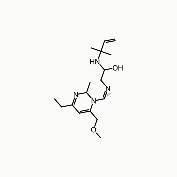 C=CC(C)(C)NC(O)C/N=C\N1C(COC)=CC(CC)=NC1C